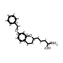 NC(O)CCCC1CCc2ccc(OCc3ccccc3)cc2O1